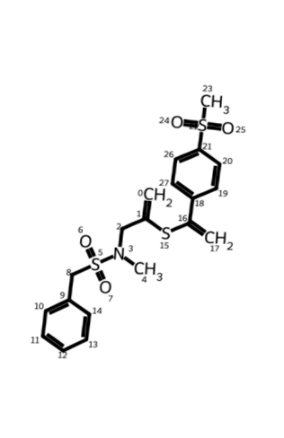 C=C(CN(C)S(=O)(=O)Cc1ccccc1)SC(=C)c1ccc(S(C)(=O)=O)cc1